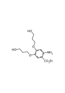 CCOC(=O)c1cc(OCCCO)c(OCCCO)cc1N